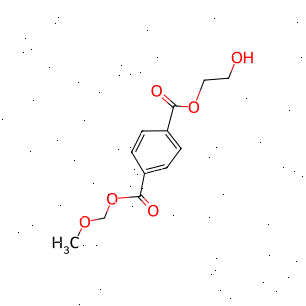 COCOC(=O)c1ccc(C(=O)OCCO)cc1